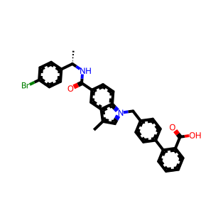 Cc1cn(Cc2ccc(-c3ccccc3C(=O)O)cc2)c2ccc(C(=O)N[C@@H](C)c3ccc(Br)cc3)cc12